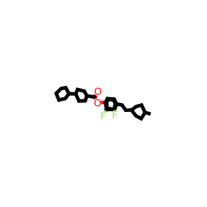 CC1CCC(CCc2ccc(OC(=O)C3CCC(C4CCCCC4)CC3)c(F)c2F)CC1